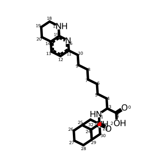 O=C(O)C(CCCCCCCc1ccc2c(n1)NCCC2)NC(=O)C1C2CCCC1CNC2